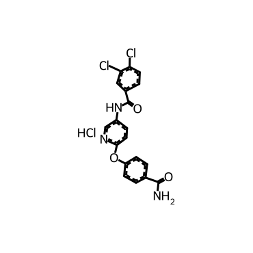 Cl.NC(=O)c1ccc(Oc2ccc(NC(=O)c3ccc(Cl)c(Cl)c3)cn2)cc1